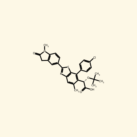 Cc1cc2nc(-c3ccc4c(c3)CC(=O)N4C)sc2c(-c2ccc(Cl)cc2)c1[C@H](OC(C)(C)C)C(=O)O